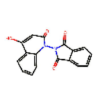 O=C1c2ccccc2C(=O)N1n1c(=O)cc(O)c2ccccc21